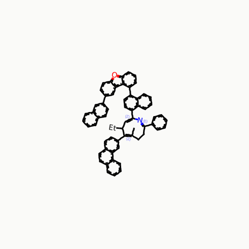 CCC1/C=C(c2ccc(-c3cccc4oc5ccc(-c6ccc7ccccc7c6)cc5c34)c3ccccc23)\N=C(\c2ccccc2)CC/C(C)=C/1c1ccc2ccc3ccccc3c2c1